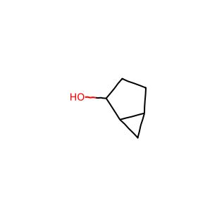 OC1CCC2CC12